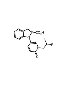 O=C(O)[C@@H]1Cc2ccccc2N1c1ccc(=O)n(CC(F)F)n1